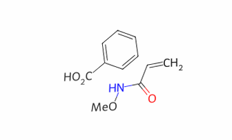 C=CC(=O)NOC.O=C(O)c1ccccc1